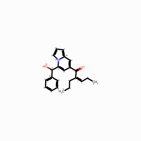 CC/C=C(/CCC)C(=O)c1cc(C(O)c2ccccc2)n2cccc2c1